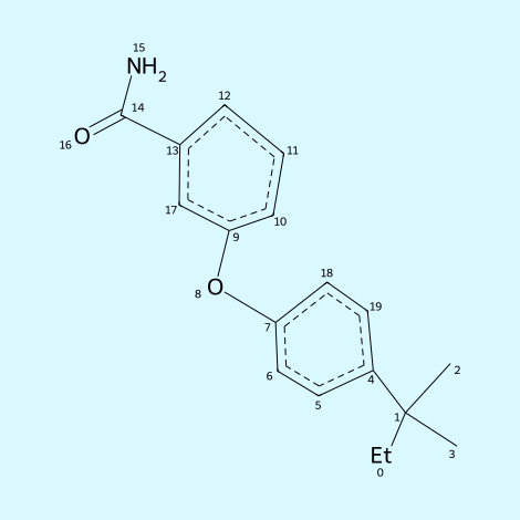 CCC(C)(C)c1ccc(Oc2cccc(C(N)=O)c2)cc1